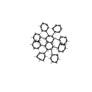 c1ccc(-c2c(-c3ccccc3)c(-c3ccccc3)c3c(-c4ccccc4)c(-c4ccccc4)c(-c4ccccc4)c(-c4ccccc4)c3c2-c2ccccc2)cc1